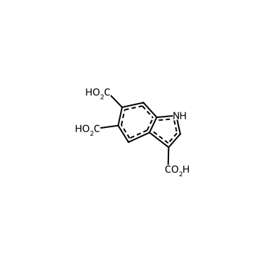 O=C(O)c1cc2[nH]cc(C(=O)O)c2cc1C(=O)O